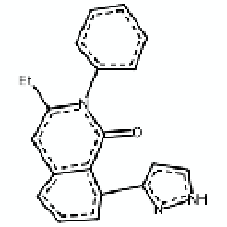 CCc1cc2cccc(-c3cc[nH]n3)c2c(=O)n1-c1ccccc1